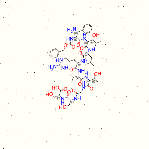 CC(C)C[C@H](NC(=O)[C@@H](NC(=O)[C@@H](NC(=O)OCc1ccccc1)[C@H](N)c1ccccc1)[C@H](O)C(C)C)C(=O)N[C@H](CCCNC(=N)N)C(=O)N[C@H](C(=O)N[C@H](C(=O)NCC(=O)N[C@@H](CO)C(=O)N[C@@H](CO)C(=O)O)[C@H](C)O)C(C)C